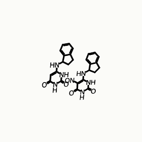 O=Nc1c(NC2CCc3ccccc32)[nH]c(=O)[nH]c1=O.O=c1cc(NC2CCc3ccccc32)[nH]c(=O)[nH]1